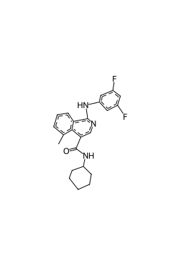 Cc1cccc2c(Nc3cc(F)cc(F)c3)ncc(C(=O)NC3CCCCC3)c12